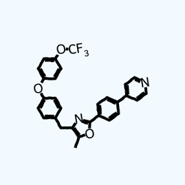 Cc1oc(-c2ccc(-c3ccncc3)cc2)nc1Cc1ccc(Oc2ccc(OC(F)(F)F)cc2)cc1